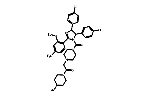 CCOc1cc(C(F)(F)F)ccc1C1=NC(c2ccc(Cl)cc2)C(c2ccc(Cl)cc2)N1C(=O)N1CCN(CC(=O)N2CCN(C(C)=O)CC2)CC1